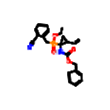 C=CC1CC1(NC(=O)OCc1ccccc1)P(=O)(Cc1ccccc1C#N)OCC